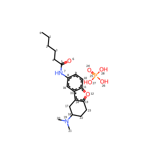 CCCCCC(=O)Nc1ccc2oc3c(c2c1)CC(N(C)C)CC3.O=P(O)(O)O